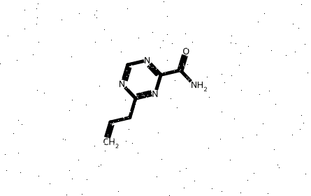 C=CCc1ncnc(C(N)=O)n1